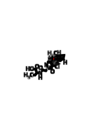 CCC(NC(=O)Cn1ncc(N[C@@H]2C[C@H]3C[C@H]([C@@H]2C)C3(C)C)c(Cl)c1=O)C(=O)O